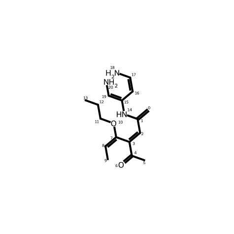 C=C(/C=C(C(C)=O)\C(=C/C)OCCC)NC(/C=C\N)=C/N